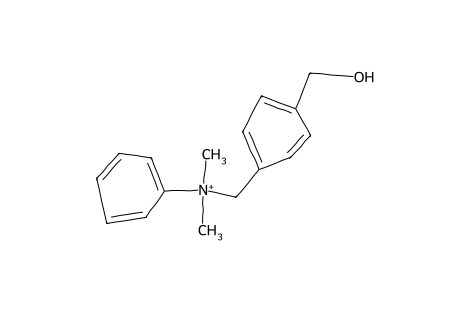 C[N+](C)(Cc1ccc(CO)cc1)c1ccccc1